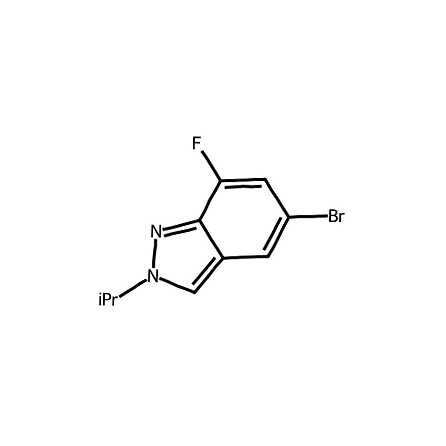 CC(C)n1cc2cc(Br)cc(F)c2n1